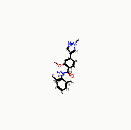 COc1cc(-c2cnn(C)c2)ccc1C(=O)Nc1c(C)cccc1C